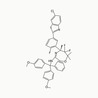 COc1ccc(C(NC2=N[C@](C)(c3cc(-c4nc5ccc(Cl)cc5s4)ccc3F)C(F)(F)C(C)(C)OC2)(c2ccccc2)c2ccc(OC)cc2)cc1